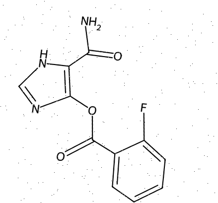 NC(=O)c1[nH]cnc1OC(=O)c1ccccc1F